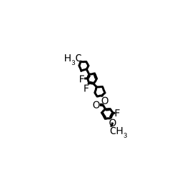 CCOc1ccc(C(=O)OC2CCC(c3ccc(C4CCC(C)CC4)c(F)c3F)CC2)cc1F